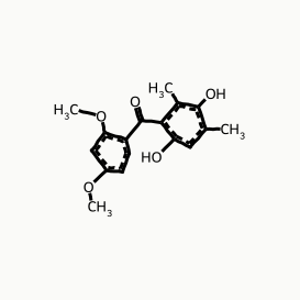 COc1ccc(C(=O)c2c(O)cc(C)c(O)c2C)c(OC)c1